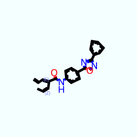 C=C/C=C(\C=C/C)C(=O)Nc1ccc(-c2nc(-c3ccccc3)no2)cc1